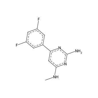 CNc1cc(-c2cc(F)cc(F)c2)nc(N)n1